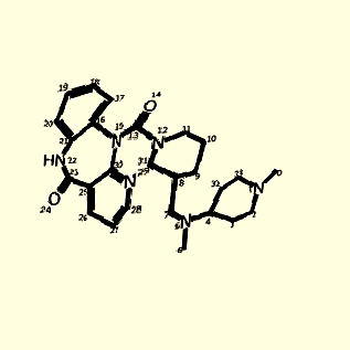 CN1CCC(N(C)CC2CCCN(C(=O)N3c4ccccc4NC(=O)c4cccnc43)C2)CC1